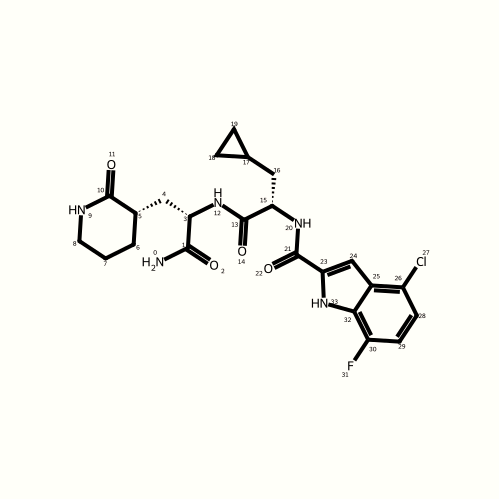 NC(=O)[C@H](C[C@@H]1CCCNC1=O)NC(=O)[C@H](CC1CC1)NC(=O)c1cc2c(Cl)ccc(F)c2[nH]1